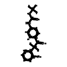 CC(C)(C)OC(=O)Nc1ccc(C(=O)C(C)(C)c2ncccc2F)nc1